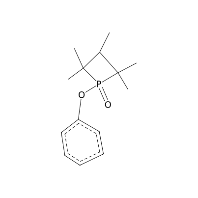 CC1C(C)(C)P(=O)(Oc2ccccc2)C1(C)C